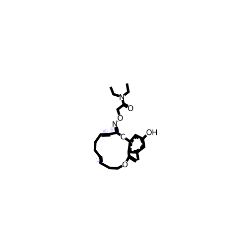 C=C1OCC/C=C/CC/C=C/C(=N/OCC(=O)N(CC)CC)Cc2cc(O)cc(C)c21